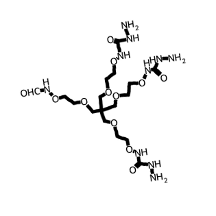 NNC(=O)NOCCOCC(COCCONC=O)(COCCONC(=O)NN)COCCONC(=O)NN